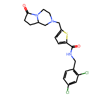 O=C(NCc1ccc(Cl)cc1Cl)c1ccc(CN2CCN3C(=O)CCC3C2)s1